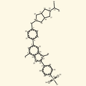 Cc1cc(-c2ccc(CN3CC4CN(C(C)C)CC4C3)cc2)cc2c1nc(-c1ccc(S(C)(=O)=O)cc1)n2C